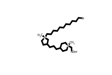 CCCCCCCCCCC[N+]1(C)CCC(CCCC2CC[N+](C)(CCCCCCCCCCCBr)C2)CC1